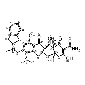 CN(C)c1c(CN(C)C2Cc3ccccc3C2)cc(O)c2c1CC1C[C@H]3CC(O)=C(C(N)=O)C(=O)[C@@]3(O)C(O)=C1C2=O